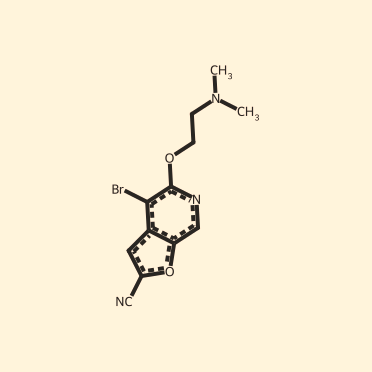 CN(C)CCOc1ncc2oc(C#N)cc2c1Br